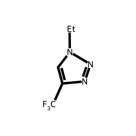 CCn1cc(C(F)(F)F)nn1